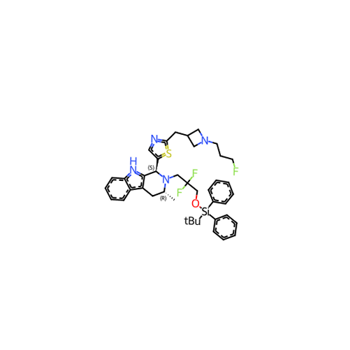 C[C@@H]1Cc2c([nH]c3ccccc23)[C@@H](c2cnc(CC3CN(CCCF)C3)s2)N1CC(F)(F)CO[Si](c1ccccc1)(c1ccccc1)C(C)(C)C